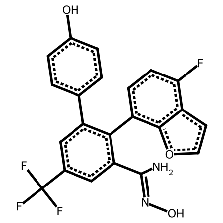 N/C(=N\O)c1cc(C(F)(F)F)cc(-c2ccc(O)cc2)c1-c1ccc(F)c2ccoc12